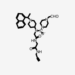 C#CCNC(=O)CNC(=O)CN(C1CCN(C(C)c2cccc3ccccc23)CC1)[S+]([O-])N1CCN(CC=O)CC1